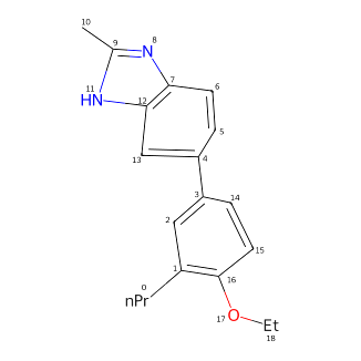 CCCc1cc(-c2ccc3nc(C)[nH]c3c2)ccc1OCC